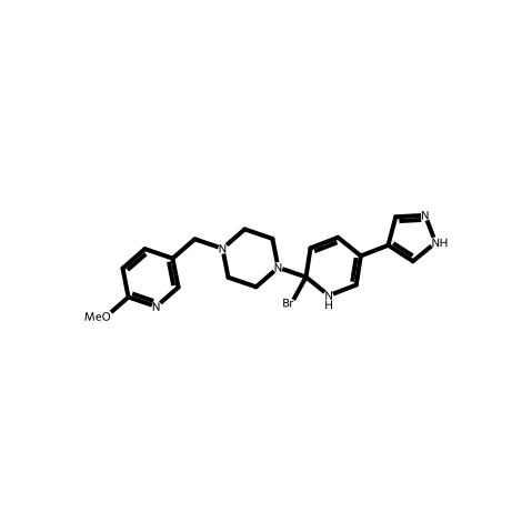 COc1ccc(CN2CCN(C3(Br)C=CC(c4cn[nH]c4)=CN3)CC2)cn1